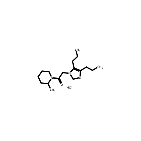 CCCC1=C(CCC)N(CC(=O)N2CCCCC2C)CS1.Cl